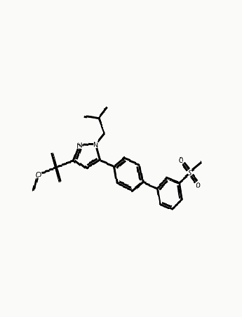 COC(C)(C)c1cc(-c2ccc(-c3cccc(S(C)(=O)=O)c3)cc2)n(CC(C)C)n1